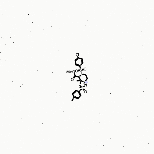 COC(=O)C1N(S(=O)(=O)c2ccc(Cl)cc2)CC/S(=N/S(=O)(=O)c2ccc(C)cc2)C1(C)C